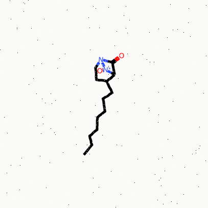 CCCCCCCCC1CCN2C(=O)C1[N+]2=O